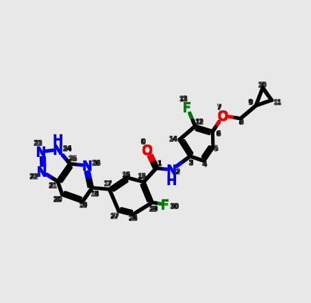 O=C(Nc1ccc(OCC2CC2)c(F)c1)c1cc(-c2ccc3nn[nH]c3n2)ccc1F